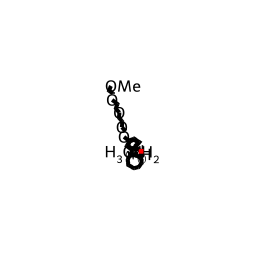 COCCOCCOCCOCOc1ccc2c(c1)[C@@]1(C)CCCCC[C@@H](C2)[C@@H]1N